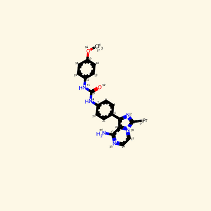 CC(C)c1nc(-c2ccc(NC(=O)Nc3ccc(OC(F)(F)F)cc3)cc2)c2c(N)nccn12